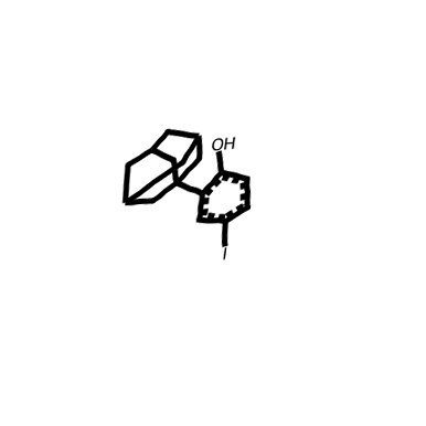 Oc1ccc(I)cc1C12CC3CC(CC(C3)C1)C2